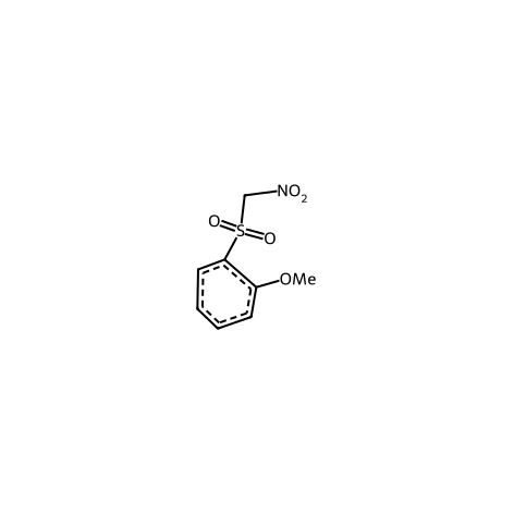 COc1ccccc1S(=O)(=O)C[N+](=O)[O-]